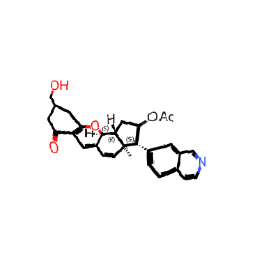 CC(=O)OC1C[C@H]2[C@@H]3OC4=C(C=C3C=C[C@]2(C)[C@H]1c1ccc2ccncc2c1)C(=O)CC(CO)C4